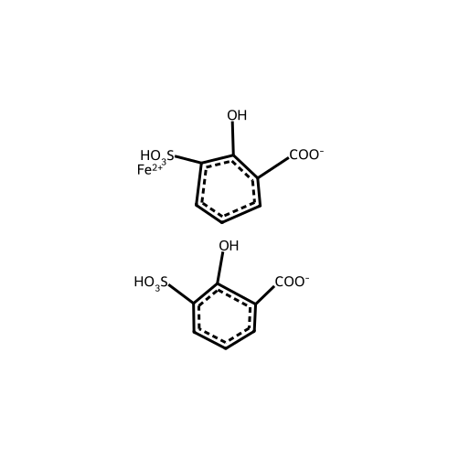 O=C([O-])c1cccc(S(=O)(=O)O)c1O.O=C([O-])c1cccc(S(=O)(=O)O)c1O.[Fe+2]